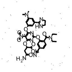 CCN(CC)C(=O)c1ccc(C#N)cc1Oc1nc(Oc2cc(C3=NCCN3)cc(N(C)C)c2)c([N+](=O)[O-])c(OC(CC(N)=O)C(=O)O)n1